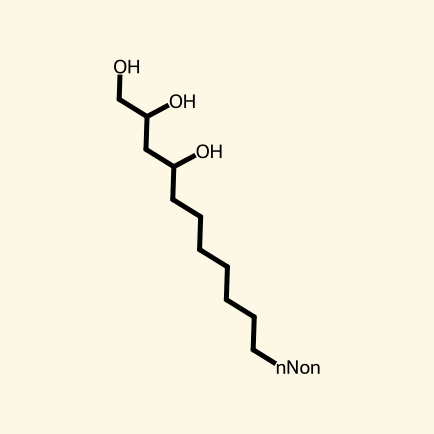 CCCCCCCCCCCCCCCCC(O)CC(O)CO